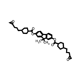 CC1(C)c2cc(OC(=O)C3CCC(CCCC4CO4)CC3)ccc2-c2ccc(OC(=O)C3CCC(CCCC4CO4)CC3)cc21